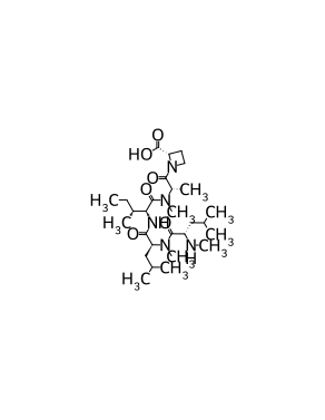 CC[C@H](C)[C@H](NC(=O)[C@H](CC(C)C)N(C)C(=O)[C@H](CC(C)C)NC)C(=O)N(C)[C@@H](C)C(=O)N1CC[C@H]1C(=O)O